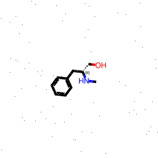 CN[C@@H](CO)Cc1ccccc1